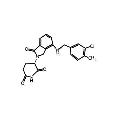 Cc1ccc(CNc2cccc3c2CN([C@H]2CCC(=O)NC2=O)C3=O)cc1Cl